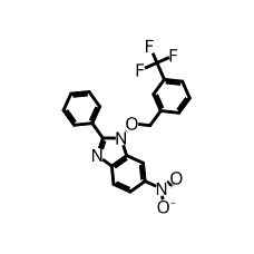 O=[N+]([O-])c1ccc2nc(-c3ccccc3)n(OCc3cccc(C(F)(F)F)c3)c2c1